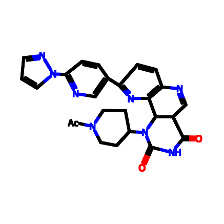 CC(=O)N1CCC(N2C(=O)NC(=O)C3C=Nc4ccc(-c5ccc(-n6cccn6)nc5)nc4C32)CC1